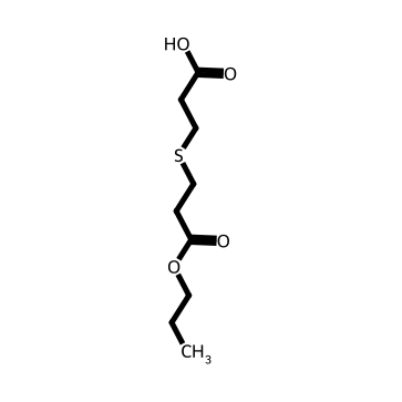 CCCOC(=O)CCSCCC(=O)O